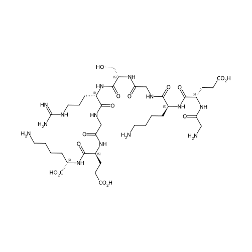 N=C(N)NCCC[C@H](NC(=O)[C@H](CO)NC(=O)CNC(=O)[C@H](CCCCN)NC(=O)[C@H](CCC(=O)O)NC(=O)CN)C(=O)NCC(=O)N[C@@H](CCC(=O)O)C(=O)N[C@@H](CCCCN)C(=O)O